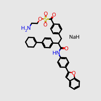 NCCOS(=O)(=O)C(=O)c1ccc(CC(C(=O)Nc2ccc(-c3cc4ccccc4o3)cc2)c2ccc(C3=CCCCC3)cc2)cc1.[NaH]